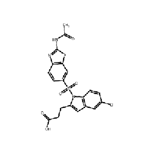 CC(=O)Nc1nc2ccc(S(=O)(=O)n3c(CCC(=O)O)cc4cc(Cl)ccc43)cc2s1